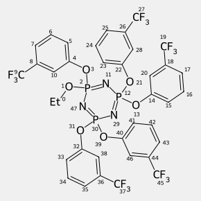 CCOP1(Oc2cccc(C(F)(F)F)c2)=NP(Oc2cccc(C(F)(F)F)c2)(Oc2cccc(C(F)(F)F)c2)=NP(Oc2cccc(C(F)(F)F)c2)(Oc2cccc(C(F)(F)F)c2)=N1